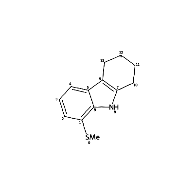 CSc1cccc2c3c([nH]c12)CC[C]C3